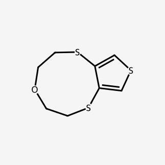 c1scc2c1SCCOCCS2